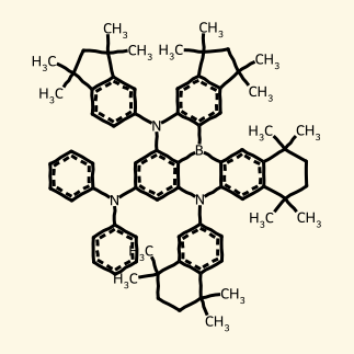 CC1(C)CCC(C)(C)c2cc(N3c4cc5c(cc4B4c6cc7c(cc6N(c6ccc8c(c6)C(C)(C)CC8(C)C)c6cc(N(c8ccccc8)c8ccccc8)cc3c64)C(C)(C)CC7(C)C)C(C)(C)CCC5(C)C)ccc21